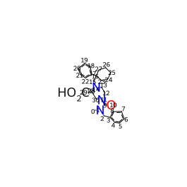 CN(Cc1ccccc1)C(=O)N1CCN(CC2(c3ccccc3)CCCCC2)[C@H](C(=O)O)C1